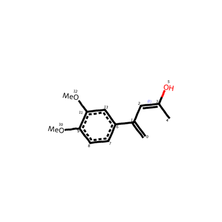 C=C(/C=C(\C)O)c1ccc(OC)c(OC)c1